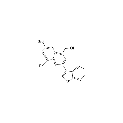 CCc1cc(C(C)(C)C)cc2c(CO)cc(-c3csc4ccccc34)nc12